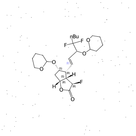 CCCCC(F)(F)C(/C=C/[C@@H]1[C@H]2[C@@H](C[C@@H]1OC1CCCCO1)OC(=O)[C@@H]2F)OC1CCCCO1